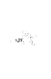 Cc1ccc(NC(=O)Oc2ccnc(N3CCOCC3)c2)cc1NC(=O)c1cccc(CNCC(C)(C)CN(C)C)c1